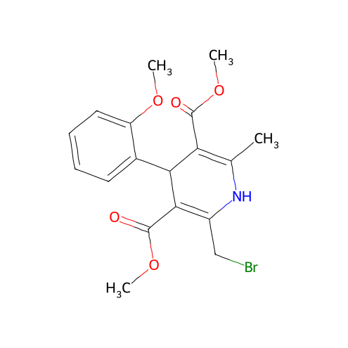 COC(=O)C1=C(C)NC(CBr)=C(C(=O)OC)C1c1ccccc1OC